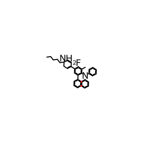 CCCCCC1(N)C=CC(c2cc(-c3ccccc3)c(N(c3ccccc3)c3ccccc3)c(C)c2F)=CC1